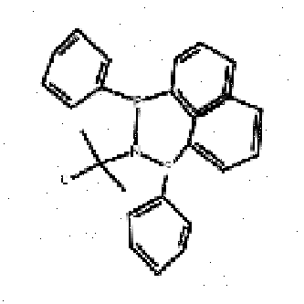 CC(C)(Cl)N(P(c1ccccc1)c1ccccc1)P(c1ccccc1)c1ccccc1